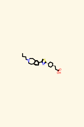 CCCCN1CCc2ccc(-c3csc([C@H]4CC[C@H](CCC(=O)O)CC4)n3)cc2CC1